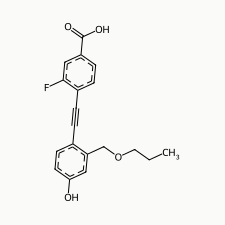 CCCOCc1cc(O)ccc1C#Cc1ccc(C(=O)O)cc1F